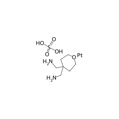 NCC1(CN)CCOCC1.O=S(=O)(O)O.[Pt]